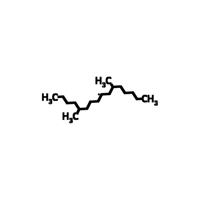 CCCCCC(C)C[CH]CCCC(C)CCCC